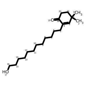 CC1(C)C=C(CCCCCCCCCCCCO)C(=O)CC1